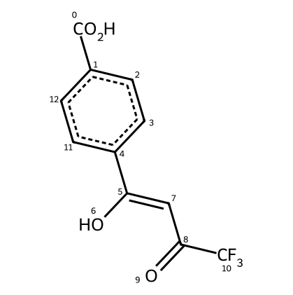 O=C(O)c1ccc(/C(O)=C/C(=O)C(F)(F)F)cc1